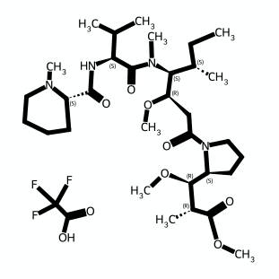 CC[C@H](C)[C@@H]([C@@H](CC(=O)N1CCC[C@H]1[C@H](OC)[C@@H](C)C(=O)OC)OC)N(C)C(=O)[C@@H](NC(=O)[C@@H]1CCCCN1C)C(C)C.O=C(O)C(F)(F)F